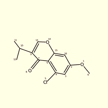 COc1cc(Cl)c2c(=O)c(C(C)C)coc2c1